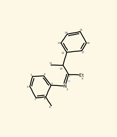 CC/C(=N/c1ccccc1C)C(C)c1ccccc1